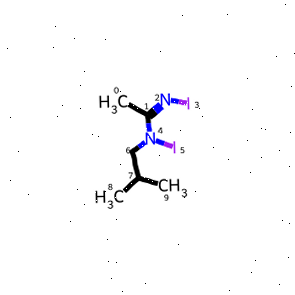 C/C(=N/I)N(I)CC(C)C